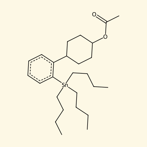 CCC[CH2][Sn]([CH2]CCC)([CH2]CCC)[c]1ccccc1C1CCC(OC(C)=O)CC1